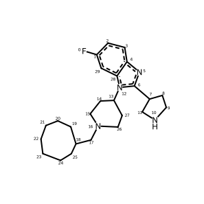 Fc1ccc2nc(C3CCNC3)n(C3CCN(CC4CCCCCCC4)CC3)c2c1